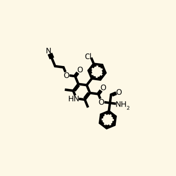 CC1=C(C(=O)OCCC#N)C(c2cccc(Cl)c2)C(C(=O)OC(N)(C=O)c2ccccc2)=C(C)N1